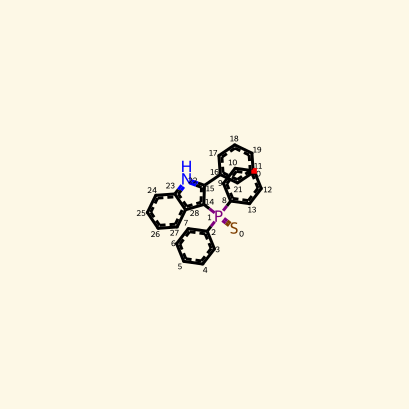 S=P(c1ccccc1)(c1ccccc1)c1c(-c2ccccc2)[nH]c2ccccc12